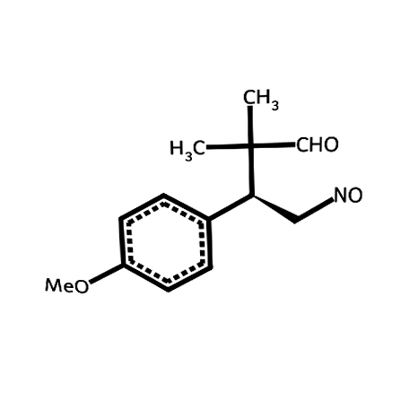 COc1ccc([C@H](CN=O)C(C)(C)C=O)cc1